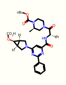 CCCCOC(=O)N1CCN(C(=O)[C@@H](NC(=O)c2cc(N3C[C@@H]4[C@H](C3)[C@@H]4OC(=O)O)nc(-c3ccccc3)n2)C(C)C)C[C@H]1C